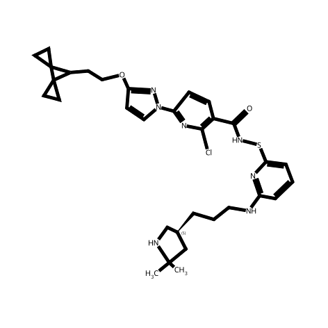 CC1(C)C[C@H](CCCNc2cccc(SNC(=O)c3ccc(-n4ccc(OCCC5C6(CC6)C56CC6)n4)nc3Cl)n2)CN1